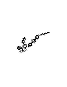 CCCCCCCOc1ccc(-c2cnc(-c3ccc(C[C@H](NC(=O)c4ccc(C(C)(C)C)s4)C(=O)NC(C(=O)O)c4ccco4)cc3)nc2)cc1